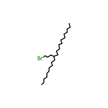 CCCCCCCCCCCCC(CCCBr)CCCCCCCCCC